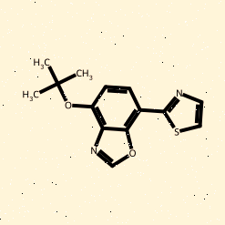 CC(C)(C)Oc1ccc(-c2nccs2)c2ocnc12